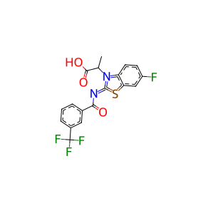 CC(C(=O)O)n1/c(=N/C(=O)c2cccc(C(F)(F)F)c2)sc2cc(F)ccc21